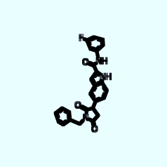 O=C(Nc1cccc(F)c1)c1cc2cc(C3CC(=O)N(Cc4ccccc4)C3=O)ccc2[nH]1